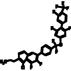 CCCc1ccc2cc(-c3ccc(C(F)(F)Oc4cc(F)c(-c5ccc(C(F)(F)F)c(F)c5)c(F)c4)cc3)c(F)c(F)c2c1Cl